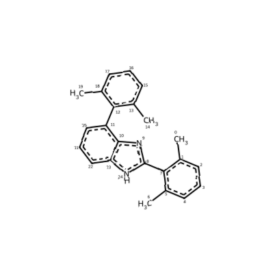 Cc1cccc(C)c1-c1nc2c(-c3c(C)cccc3C)cccc2[nH]1